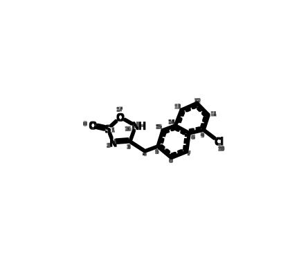 O=S1N=C(Cc2ccc3c(Cl)cccc3c2)NO1